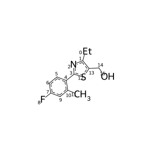 CCc1nc(-c2ccc(F)cc2C)sc1CO